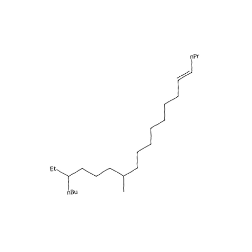 [CH2]CCC=CCCCCCCCC(C)CCCC(CC)CCC[CH2]